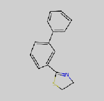 c1ccc(-c2cccc(C3=NCCS3)c2)cc1